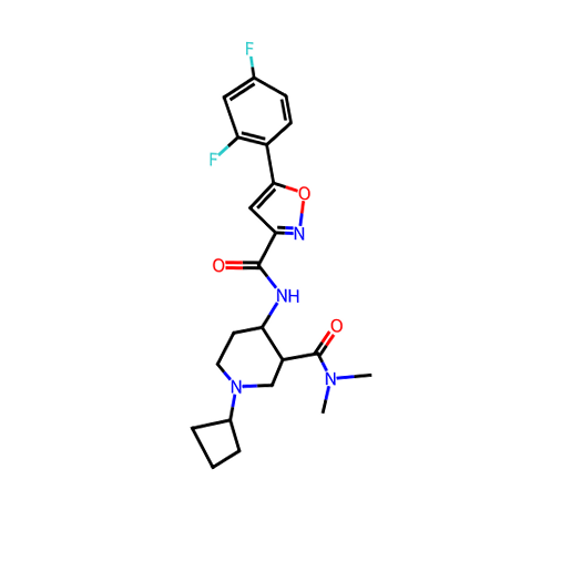 CN(C)C(=O)C1CN(C2CCC2)CCC1NC(=O)c1cc(-c2ccc(F)cc2F)on1